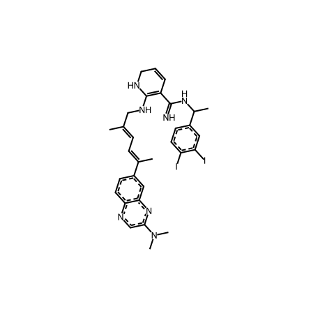 C/C(=C\C=C(/C)c1ccc2ncc(N(C)C)nc2c1)CNC1=C(C(=N)NC(C)c2ccc(I)c(I)c2)C=CCN1